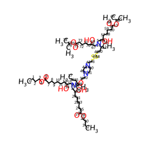 CCCCOC(=O)CCCCCCC(O)CN(CC(O)CCCCCCC(=O)OCCCC)C(C)(CCC)OCCN1CCN(CCSSCCC(C)N(CC(O)CCCCC(=O)OC(C)C)CC(O)CCCCC(=O)OC(C)C)CC1